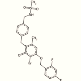 Cc1cc(OCc2ccc(F)cc2F)c(Br)c(=O)n1Cc1ccc(CNS(C)(=O)=O)cc1